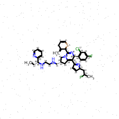 C=C1CC=CSC1C1=N[C@@H](c2ccc(F)cc2Cl)C(C2=NC(CC(C)F)C=C2)=C2C[C@H](CNCCN[C@H](CC)c3ccccn3)CN12